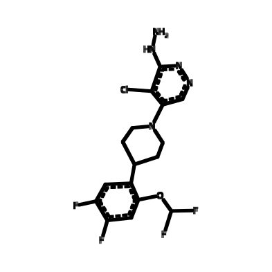 NNc1nncc(N2CCC(c3cc(F)c(F)cc3OC(F)F)CC2)c1Cl